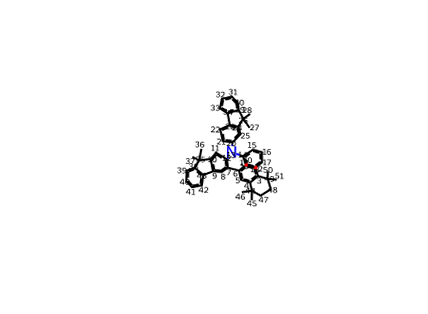 Cc1cc2c(cc1-c1cc3c(cc1N(c1ccccc1)c1ccc4c(c1)C(C)(C)c1ccccc1-4)C(C)(C)c1ccccc1-3)C(C)(C)CCC2(C)C